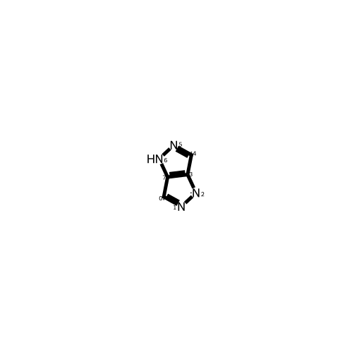 [C]1=N[N]c2[c]n[nH]c21